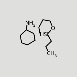 CCC[SiH]1CCCCO1.NC1CCCCC1